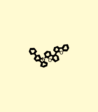 c1ccc(-c2ccc3c4ccccc4n(-c4cccc5c4oc4cccc(-c6cccc7c6oc6ccccc67)c45)c3c2)cc1